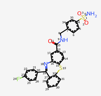 NS(=O)(=O)c1ccc(CNC(=O)c2ccc3c(c2)N=C(c2ccc(F)cc2)c2ccccc2S3)cc1